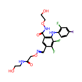 O=C(CON=Cc1cc(C(=O)NOCCO)c(Nc2ccc(I)cc2F)c(F)c1F)NCCO